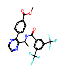 COC(=O)c1ccc(-c2nccnc2C(C)NC(=O)c2cc(C(F)(F)F)cc(C(F)(F)F)c2)cc1